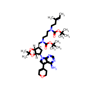 C/C=C(\C)CCN(CCCN(C[C@H]1C[C@@H](n2cc(C3=CCOCC3)c3c(N)ncnc32)[C@@H]2OC(C)(C)O[C@H]12)C(=O)OC(C)(C)C)C(=O)OC(C)(C)C